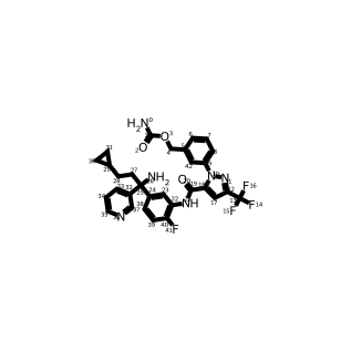 NC(=O)OCc1cccc(-n2nc(C(F)(F)F)cc2C(=O)Nc2cc(C(N)(CCC3CC3)c3cccnc3)ccc2F)c1